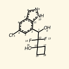 OC(c1cc(Cl)cc2cn[nH]c12)C(F)(F)C1(O)CCC1